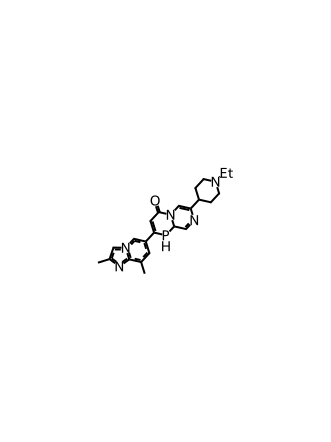 CCN1CCC(C2=CN3C(=O)C=C(c4cc(C)c5nc(C)cn5c4)PC3C=N2)CC1